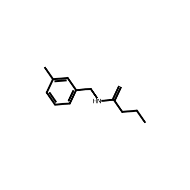 C=C(CCC)NCc1cccc(C)c1